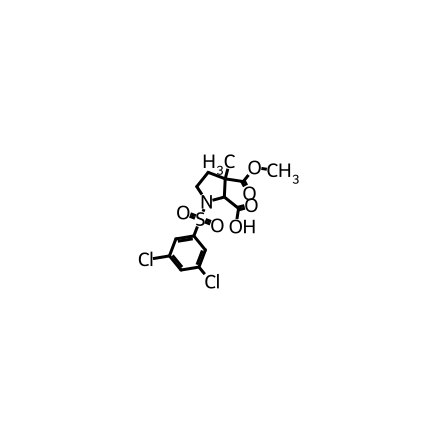 COC(=O)C1(C)CCN(S(=O)(=O)c2cc(Cl)cc(Cl)c2)C1C(=O)O